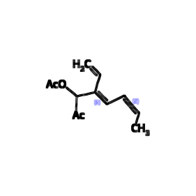 C=C/C(=C\C=C/C)C(OC(C)=O)C(C)=O